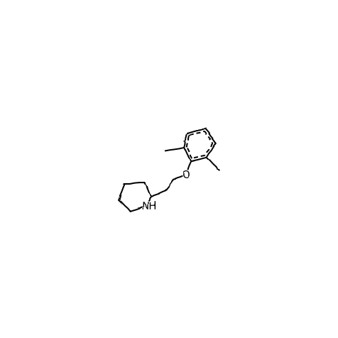 Cc1cccc(C)c1OCCC1CCCCN1